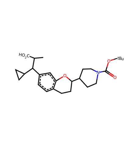 CC(C(=O)O)C(c1ccc2c(c1)OC(C1CCN(C(=O)OC(C)(C)C)CC1)CC2)C1CC1